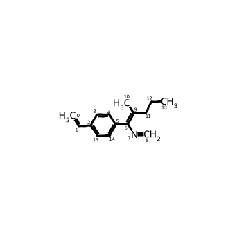 C=Cc1ccc(/C(N=C)=C(\C)CCC)cc1